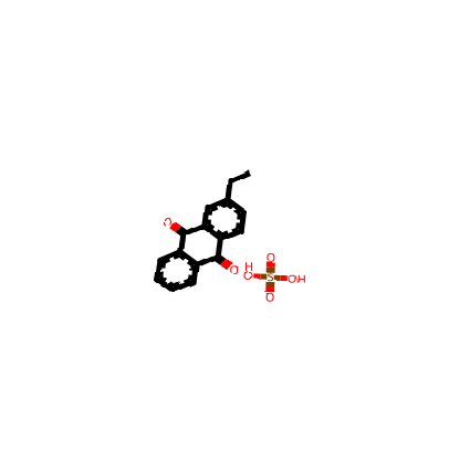 CCc1ccc2c(c1)C(=O)c1ccccc1C2=O.O=S(=O)(O)O